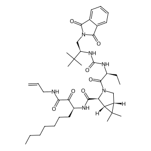 C=CCNC(=O)C(=O)[C@H](CCCCCCC)NC(=O)[C@@H]1[C@@H]2[C@H](CN1C(=O)[C@H](CC)NC(=O)N[C@H](CN1C(=O)c3ccccc3C1=O)C(C)(C)C)C2(C)C